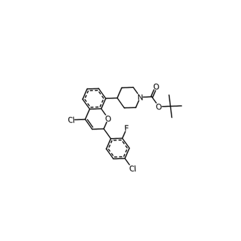 CC(C)(C)OC(=O)N1CCC(c2cccc3c2OC(c2ccc(Cl)cc2F)C=C3Cl)CC1